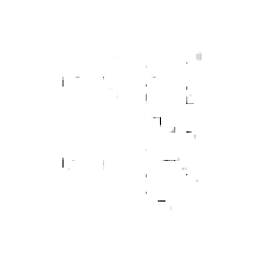 CC1CCC(C(=O)O)C(C)C1.Cc1ccc(C(=O)O)c(C)c1